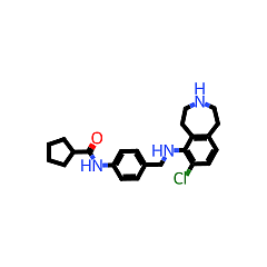 O=C(Nc1ccc(CNc2c(Cl)ccc3c2CCNCC3)cc1)C1CCCC1